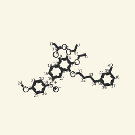 CCOc1c(OCC)c(OC(C)=O)c2ccc([S+]([O-])c3ccc(OC)cc3)cc2c1OCCCCc1cccc(C)c1